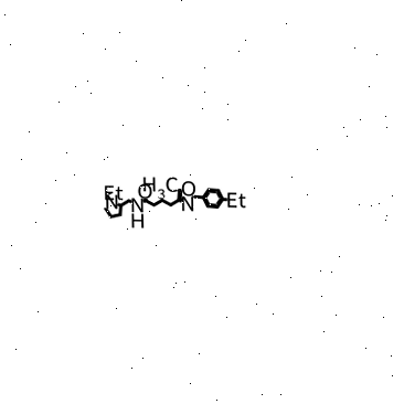 CCc1ccc(-c2nc(CCCC(=O)NCC3CCCN3CC)c(C)o2)cc1